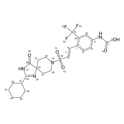 O=C(O)Nc1ccc(/C=C/S(=O)(=O)N2CCC3(CC2)N=C(C2CCCCC2)NC3=O)c(C(F)(F)F)c1